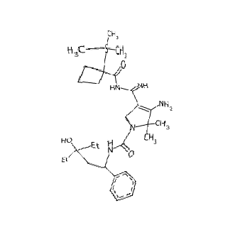 CCC(O)(CC)CC(NC(=O)N1CC(C(=N)NC(=O)C2(S(C)(C)C)CCC2)=C(N)C1(C)C)c1ccccc1